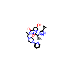 CC(CN1CCN(c2ccccn2)CC1)NC(=O)C1CC(O)CN1C(=O)[C@@H](n1cc(C2CC2)nn1)C(C)(C)C